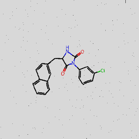 O=C1NC(Cc2ccc3ccccc3c2)C(=O)N1c1cccc(Cl)c1